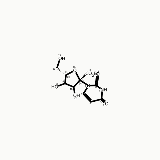 CCOC(=O)[C@]1(n2ccc(=O)[nH]c2=O)O[C@@H](CO)C(O)C1O